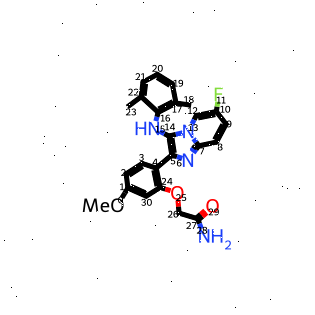 COc1ccc(-c2nc3ccc(F)cn3c2Nc2c(C)cccc2C)c(OCC(N)=O)c1